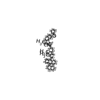 CC1(C)c2cc(-c3ccc4c(c3)C(C)(C)c3ccc5cc6c(cc5c3-4)oc3ccccc36)ccc2-c2ccc(-c3c4ccccc4c(-c4cccc5ccccc45)c4ccccc34)cc21